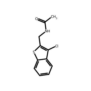 CC(=O)NCc1sc2ccccc2c1Cl